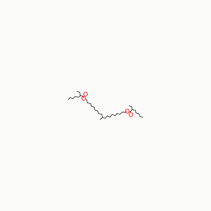 CCCCCC(CC)C(=O)OCCCCCCCCCC(C)CCCCCCCCCOC(=O)C(CC)CCCCC